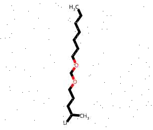 [Li][CH](C)CCCOCOCCCCCCC